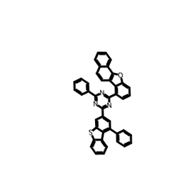 c1ccc(-c2nc(-c3cc(-c4ccccc4)c4c(c3)sc3ccccc34)nc(-c3cccc4oc5c6ccccc6ccc5c34)n2)cc1